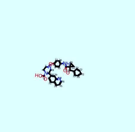 O=C(O)N1CCN(Oc2ccc(NC(=O)C3(C(=O)c4ccccc4)CC3)cc2)CC1c1ccc2cccnc2c1